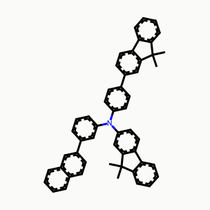 CC1(C)c2ccccc2-c2ccc(-c3ccc(N(c4cccc(-c5ccc6ccccc6c5)c4)c4ccc5c(c4)C(C)(C)c4ccccc4-5)cc3)cc21